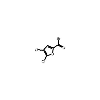 O=C(Br)c1cc(Cl)c(Cl)o1